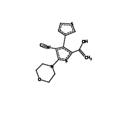 [C-]#[N+]c1c(N2CCOCC2)sc(C(=C)O)c1-c1ccsc1